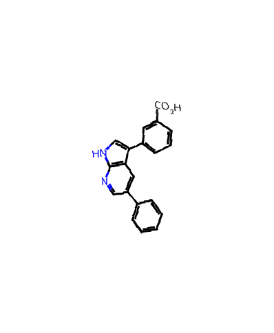 O=C(O)c1cccc(-c2c[nH]c3ncc(-c4ccccc4)cc23)c1